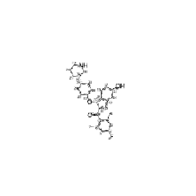 Cc1cc(F)cc(C)c1C(=O)c1sc2cc(O)ccc2c1Oc1ccc([C@@H]2CCCNC2)cc1